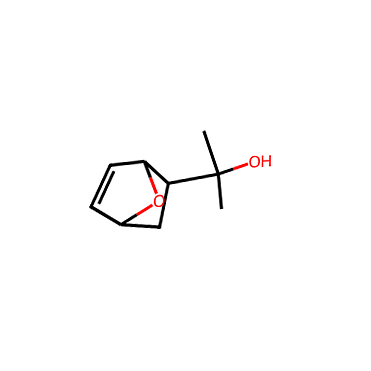 CC(C)(O)C1CC2C=CC1O2